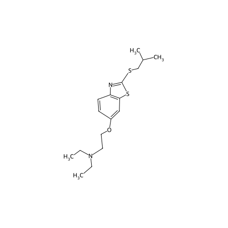 CCN(CC)CCOc1ccc2nc(SCC(C)C)sc2c1